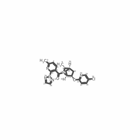 Cc1ccc(C(=O)N2[C@H](C)[C@H]3C[C@@H](Oc4ccc(Cl)cn4)[C@@H]2C3)c(-n2nccn2)n1